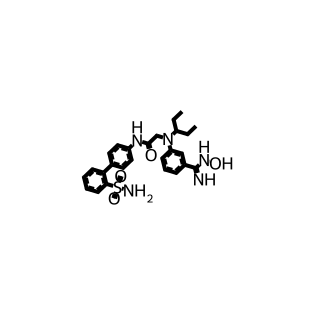 CCC(CC)N(CC(=O)Nc1ccc(-c2ccccc2S(N)(=O)=O)cc1)c1cccc(C(=N)NO)c1